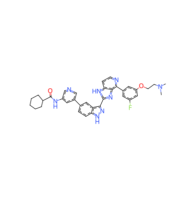 CN(C)CCOc1cc(F)cc(-c2nccc3[nH]c(-c4n[nH]c5ccc(-c6cncc(NC(=O)C7CCCCC7)c6)cc45)nc23)c1